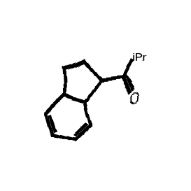 CC(C)C(=O)C1CCC2C=CC=CC21